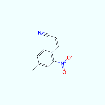 Cc1ccc(/C=C\C#N)c([N+](=O)[O-])c1